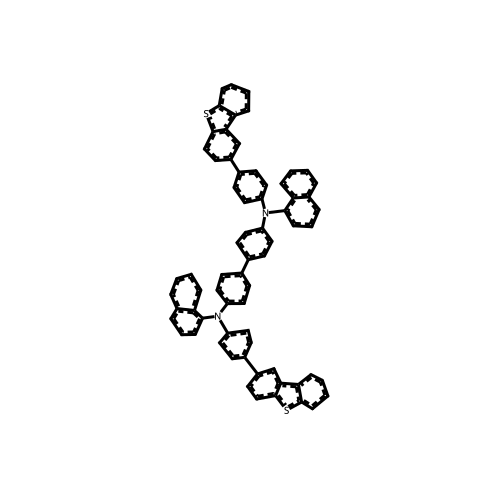 c1ccc2c(N(c3ccc(-c4ccc(N(c5ccc(-c6ccc7sc8ccccc8c7c6)cc5)c5cccc6ccccc56)cc4)cc3)c3ccc(-c4ccc5sc6ccccc6c5c4)cc3)cccc2c1